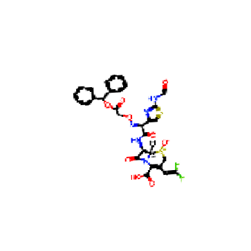 O=CNc1nc(C(=NOCC(=O)OC(c2ccccc2)c2ccccc2)C(=O)NC2C(=O)N3C(C(=O)O)=C(C=C(F)F)C[S+]([O-])[C@@H]23)cs1